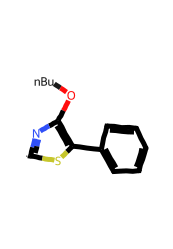 CCCCOc1n[c]sc1-c1ccccc1